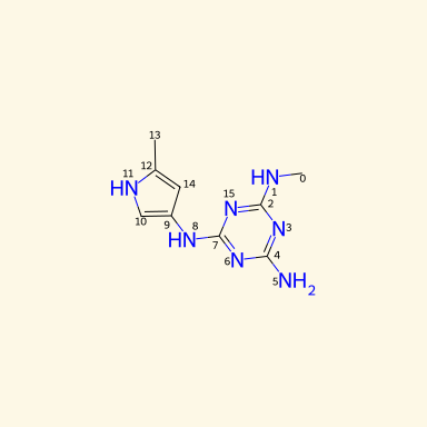 CNc1nc(N)nc(Nc2c[nH]c(C)c2)n1